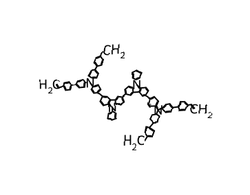 C=Cc1ccc(-c2ccc(N(c3ccc(-c4ccc(C=C)cc4)cc3)c3ccc(-c4ccc5c(c4)c4cc(-c6ccc7c(c6)c6cc(-c8ccc(N(c9ccc(-c%10ccc(C=C)cc%10)cc9)C9CCC(c%10ccc(C=C)cc%10)CC9)cc8)ccc6n7-c6ccccc6)ccc4n5-c4ccccc4)cc3)cc2)cc1